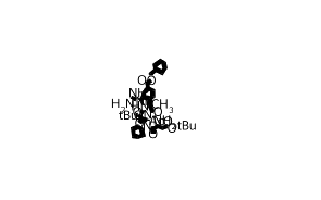 CC(=O)[C@](C(=O)OC(C)(C)C)(N1C(=O)N[C@](C)(c2ccc(C(=O)OCc3ccccc3)cc2NC(=N)N)C1=O)N(C(=O)[C@@H](N)CC(=O)OC(C)(C)C)c1ccccc1